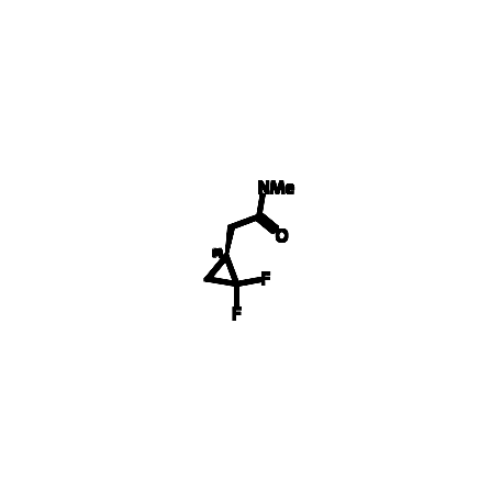 [CH2]NC(=O)C[C@@H]1CC1(F)F